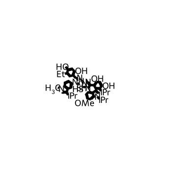 CCc1cc(-c2nnc(S)n2-c2ccc3c(c2)c(C(C)C)cn3C)c(O)cc1O.COc1ccc(-n2c(S)nnc2-c2cc(C(C)C)c(O)cc2O)c2ccn(C(C)C)c12